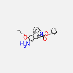 CCCCOc1cc2c(cc1N)C[C@H]1C3CCCC[C@@]23CCCN1C(=O)OCc1ccccc1